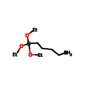 BCCCC[Si](OCC)(OCC)OCC